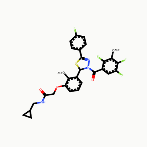 COc1c(OCC(=O)NCC2CC2)cccc1C1SC(c2ccc(F)cc2)=NN1C(=O)c1cc(F)c(F)c(OC)c1F